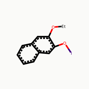 CCOc1cc2ccccc2cc1OI